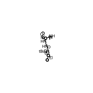 Cc1n[nH]cc1-c1cc(NCCCNC(=O)CCN(Cc2ccc(-c3ccccc3)c(Cl)c2)C(=O)OC(C)(C)C)c2cnn(C3CCCCO3)c2c1